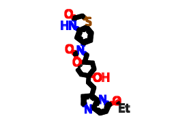 CCOc1ccc2nccc(CC[C@]3(O)CC[C@@]4(CC3)CN(c3ccc5c(c3)NC(=O)CS5)C(=O)O4)c2n1